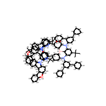 CC(C)(C)c1cc2c3c(c1)N(c1ccc(-c4ccccc4)cc1-c1ccccc1)c1ccc(-c4cccc(-n5c6cc(C(C)(C)C)ccc6c6c7c(ccc65)oc5ccccc57)n4)cc1B3c1cc(-c3cc(-n4c5cc(C(C)(C)C)ccc5c5ccc(C(C)(C)C)cc54)cc(-n4c5cc(C(C)(C)C)ccc5c5c6c(ccc54)oc4ccccc46)n3)ccc1N2c1cc(-c2ccccc2)cc(-c2ccccc2)c1